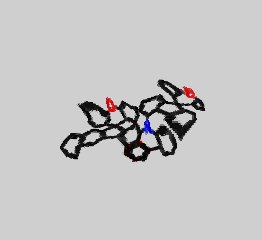 c1ccc(-c2ccccc2N(c2cccc3c2-c2ccccc2C32c3ccccc3Oc3ccccc32)c2cc3c(c4ccccc24)-c2cc4ccccc4cc2C32c3ccccc3Oc3ccccc32)cc1